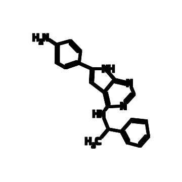 CC(Nc1ncnc2[nH]c(-c3ccc(N)cc3)cc12)c1ccccc1